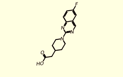 O=C(O)CC1CCN(c2ncc3cc(F)ccc3n2)CC1